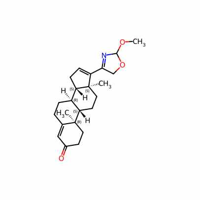 COC1N=C(C2=CC[C@H]3[C@@H]4CCC5=CC(=O)CC[C@]5(C)[C@H]4CC[C@]23C)CO1